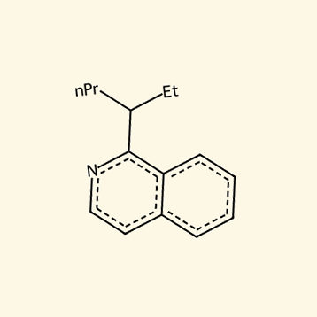 CCCC(CC)c1nccc2ccccc12